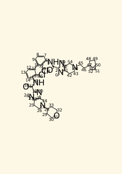 Cn1c(C(=O)Nc2cccc(-c3cccc(NC(=O)c4nc5c(n4C)CCN(C4CCOCC4)C5)c3Cl)c2Cl)nc2c1CCN(CCC13CCC(CC1)C3)C2